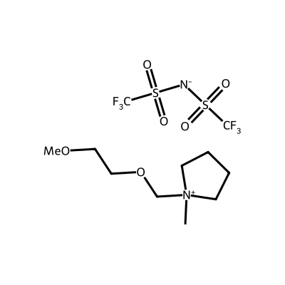 COCCOC[N+]1(C)CCCC1.O=S(=O)([N-]S(=O)(=O)C(F)(F)F)C(F)(F)F